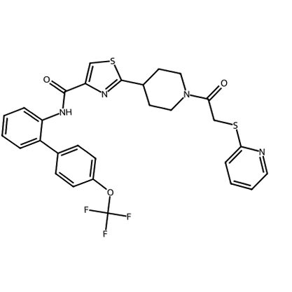 O=C(Nc1ccccc1-c1ccc(OC(F)(F)F)cc1)c1csc(C2CCN(C(=O)CSc3ccccn3)CC2)n1